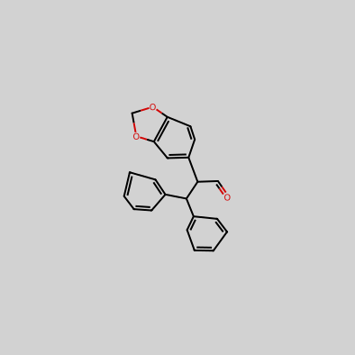 O=CC(c1ccc2c(c1)OCO2)C(c1ccccc1)c1ccccc1